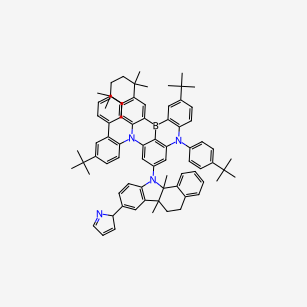 CC(C)(C)c1ccc(N2c3ccc(C(C)(C)C)cc3B3c4cc5c(cc4N(c4ccc(C(C)(C)C)cc4-c4ccccc4)c4cc(N6c7ccc(C8C=CC=N8)cc7C7(C)CCc8ccccc8C67C)cc2c43)C(C)(C)CCC5(C)C)cc1